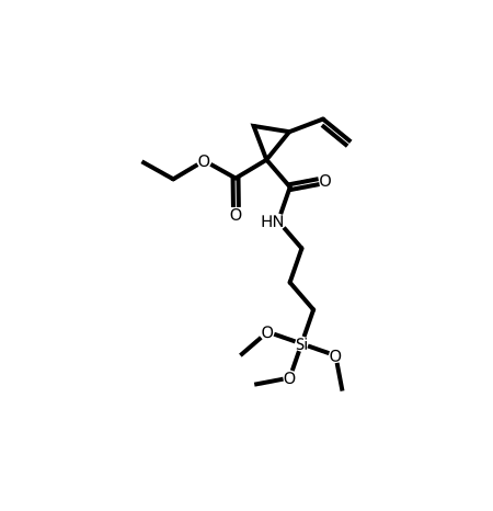 C=CC1CC1(C(=O)NCCC[Si](OC)(OC)OC)C(=O)OCC